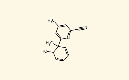 Cc1cc(C#N)nc(C2(C)C=CC=CC2O)c1